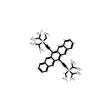 CC[Si](C#Cc1c2cc3ccccc3cc2c(C#C[Si](CC)(C(C)C)C(C)C)c2cc3ccccc3cc12)(C(C)C)C(C)C